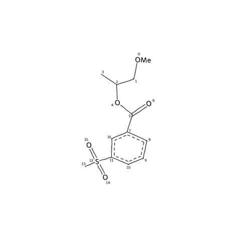 COCC(C)OC(=O)c1cccc(S(C)(=O)=O)c1